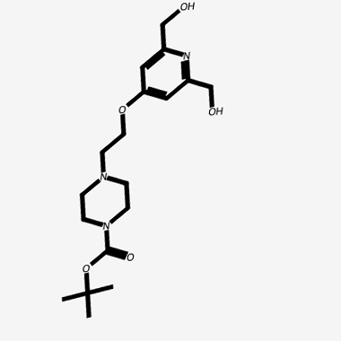 CC(C)(C)OC(=O)N1CCN(CCOc2cc(CO)nc(CO)c2)CC1